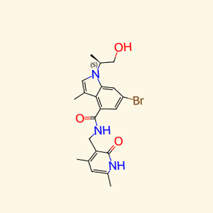 Cc1cc(C)c(CNC(=O)c2cc(Br)cc3c2c(C)cn3[C@@H](C)CO)c(=O)[nH]1